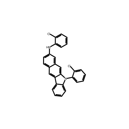 Clc1ccccc1Nc1ccc2cc3c4ccccc4n(-c4ccccc4Cl)c3cc2c1